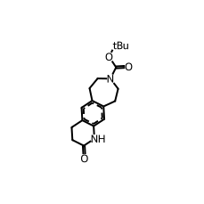 CC(C)(C)OC(=O)N1CCc2cc3c(cc2CC1)NC(=O)CC3